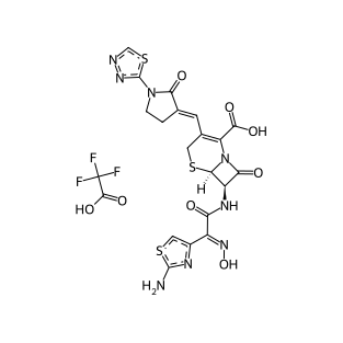 Nc1nc(C(=NO)C(=O)N[C@@H]2C(=O)N3C(C(=O)O)=C(C=C4CCN(c5nncs5)C4=O)CS[C@H]23)cs1.O=C(O)C(F)(F)F